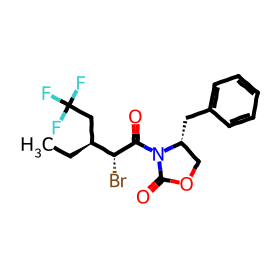 CC[C@@H](CC(F)(F)F)[C@@H](Br)C(=O)N1C(=O)OC[C@H]1Cc1ccccc1